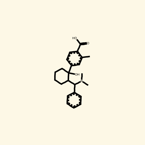 Cc1cc(C2(O)CCCCC2C(c2ccccc2)N(C)C)ccc1C(=O)O